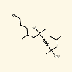 CC(C)CC(C)(O)C#CC(C)(O)CC(C)CCC[O]